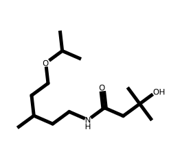 CC(CCNC(=O)CC(C)(C)O)CCOC(C)C